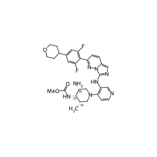 COC(=O)N[C@@H]1[C@H](N)CN(c2ccncc2Nc2ncc3ccc(-c4c(F)cc(C5CCOCC5)cc4F)nn23)C[C@@H]1C